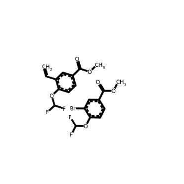 C=Cc1cc(C(=O)OC)ccc1OC(F)F.COC(=O)c1ccc(OC(F)F)c(Br)c1